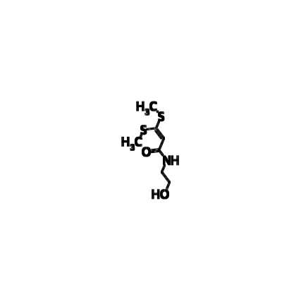 CSC(=CC(=O)NCCO)SC